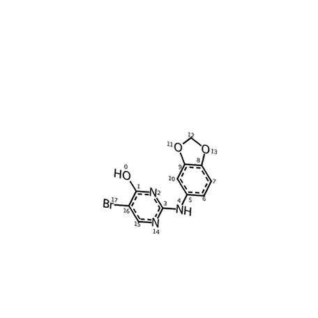 Oc1nc(Nc2ccc3c(c2)OCO3)ncc1Br